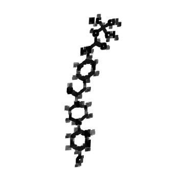 CC(C)(C)OC(=O)Nc1ccc(CC(=O)N2CCN(c3ccc(Cl)nn3)CC2)cc1